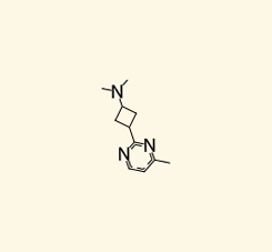 Cc1ccnc(C2CC(N(C)C)C2)n1